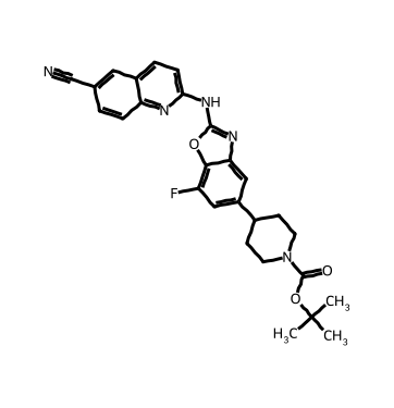 CC(C)(C)OC(=O)N1CCC(c2cc(F)c3oc(Nc4ccc5cc(C#N)ccc5n4)nc3c2)CC1